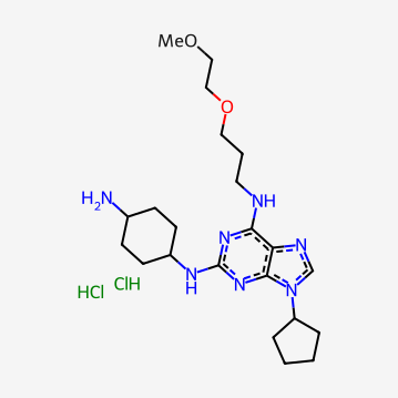 COCCOCCCNc1nc(NC2CCC(N)CC2)nc2c1ncn2C1CCCC1.Cl.Cl